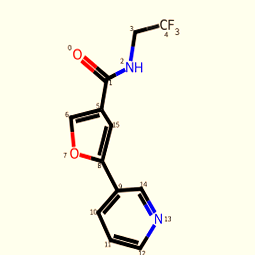 O=C(NCC(F)(F)F)c1coc(-c2cccnc2)c1